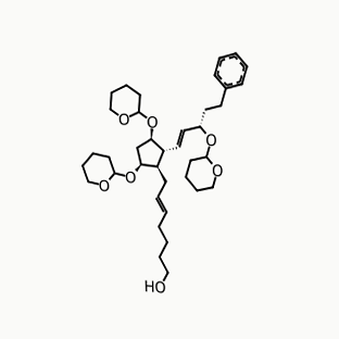 OCCCCC=CC[C@@H]1[C@@H](C=C[C@H](CCc2ccccc2)OC2CCCCO2)[C@H](OC2CCCCO2)C[C@@H]1OC1CCCCO1